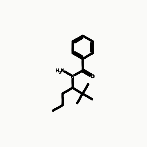 CCCC(N(N)C(=O)c1ccccc1)C(C)(C)C